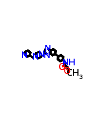 COCC(=O)Nc1ccc(-c2ccc3ncc(N4CCN(Cc5cccnc5)CC4)nc3c2)cc1